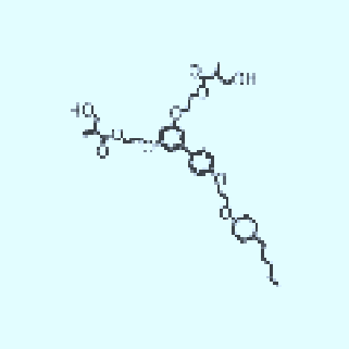 C=C(CO)C(=O)OCCOc1cc(OCCOC(=O)C(C)CO)cc(-c2ccc(OCCOC3CCC(CCCCC)CC3)cc2)c1